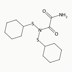 NC(=O)C(=O)N(SC1CCCCC1)SC1CCCCC1